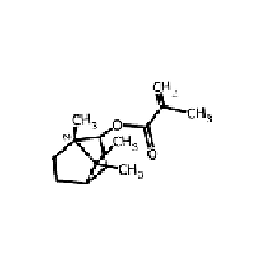 C=C(C)C(=O)OC1CC2CC[C@@]1(C)C2(C)C